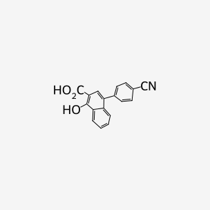 N#Cc1ccc(-c2cc(C(=O)O)c(O)c3ccccc23)cc1